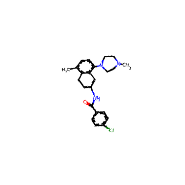 Cc1ccc(N2CCN(C)CC2)c2c1CCC(NC(=O)c1ccc(Cl)cc1)C2